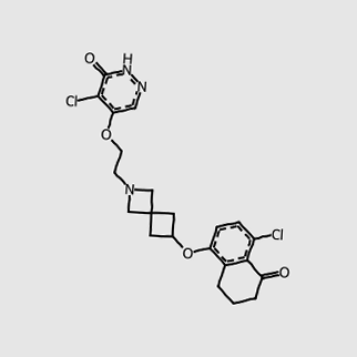 O=C1CCCc2c(OC3CC4(C3)CN(CCOc3cn[nH]c(=O)c3Cl)C4)ccc(Cl)c21